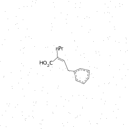 CCCC(=CCc1ccccc1)C(=O)O